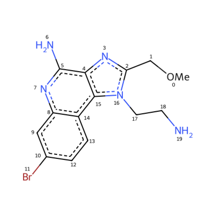 COCc1nc2c(N)nc3cc(Br)ccc3c2n1CCN